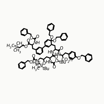 CC(C)(C)OC(=O)NC(CC(CNC(=O)OCc1ccccc1)O[Si](C)(C)C(C)(C)C)C(=O)NC(CC1C=C(c2cccc(CC(NC(=O)OCc3ccccc3)C(=O)OCC[Si](C)(C)C)c2)C=CC1(OCc1ccccc1)OCc1ccccc1)C(=O)NC(Cc1ccc(OCc2ccccc2)cc1)C(=O)O